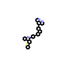 c1cnc2c(c1)cc(-c1ccc3c(ccc4ccc(-c5ccc(-c6nc7ccccc7c7c6ccc6c8ccccc8sc67)cc5)cc43)c1)c1cccnc12